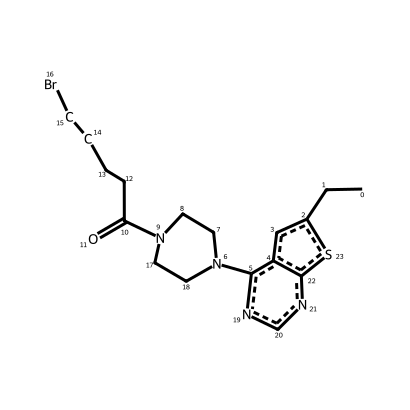 CCc1cc2c(N3CCN(C(=O)CCCCBr)CC3)ncnc2s1